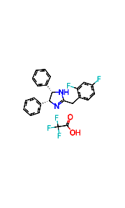 Fc1ccc(CC2=N[C@H](c3ccccc3)[C@H](c3ccccc3)N2)c(F)c1.O=C(O)C(F)(F)F